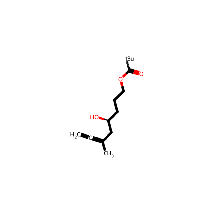 C=C=C(C)C[C@@H](O)CCCOC(=O)C(C)(C)C